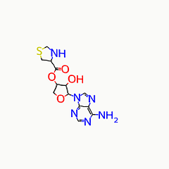 Nc1ncnc2c1ncn2C1OCC(OC(=O)C2CSCN2)C1O